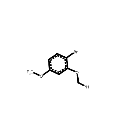 [2H]COc1cc(OC(F)(F)F)ccc1Br